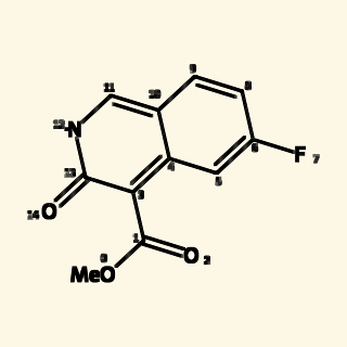 COC(=O)C1=c2cc(F)ccc2=C[N]C1=O